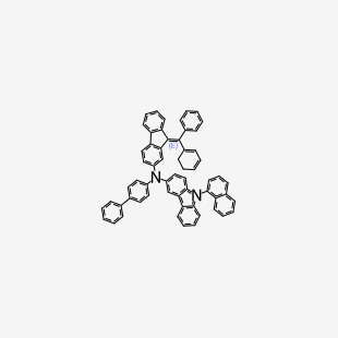 C1=CCCC(/C(=C2/c3ccccc3-c3ccc(N(c4ccc(-c5ccccc5)cc4)c4ccc5c(c4)c4ccccc4n5-c4cccc5ccccc45)cc32)c2ccccc2)=C1